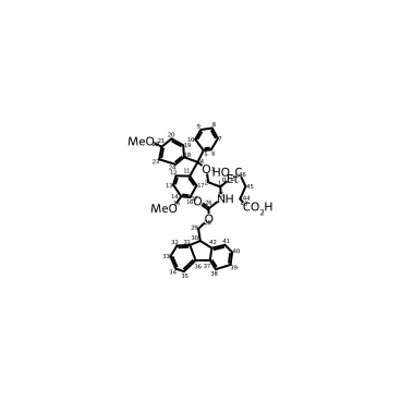 CCC(COC(c1ccccc1)(c1ccc(OC)cc1)c1ccc(OC)cc1)NC(=O)OCC1c2ccccc2-c2ccccc21.O=C(O)CCC(=O)O